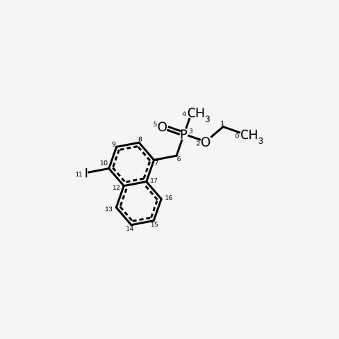 CCOP(C)(=O)Cc1ccc(I)c2ccccc12